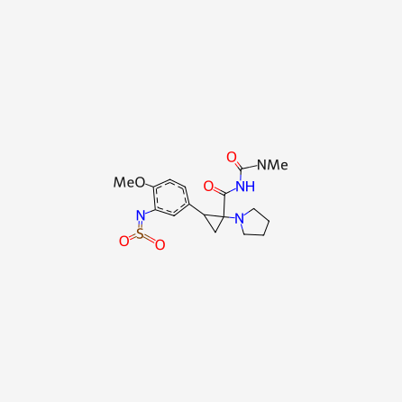 CNC(=O)NC(=O)C1(N2CCCC2)CC1c1ccc(OC)c(N=S(=O)=O)c1